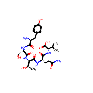 CC(C)[C@H](NC(=O)[C@H](CCC(N)=O)NC(=O)[C@@H](NC(=O)[C@H](CO)NC(=O)[C@@H](N)Cc1ccc(O)cc1)[C@@H](C)O)C(=O)O